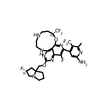 Cc1nc(N)cc(-c2nc3c4c(nc(OCC56CCCN5C[C@H](F)C6)nc4c2F)NCCNCC[C@H](C(F)(F)F)O3)c1C(F)(F)F